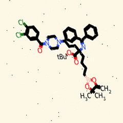 C=C1OB(CCCCC(CCCN2CCN(C(=O)c3ccc(Cl)c(Cl)c3)CC2)(N=C(c2ccccc2)c2ccccc2)C(=O)OC(C)(C)C)OC1(C)C